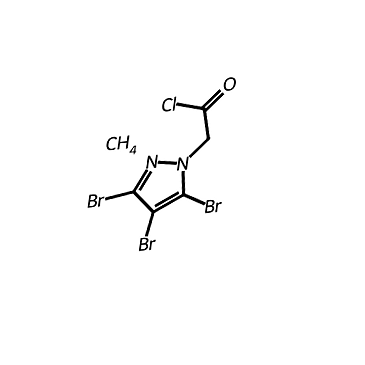 C.O=C(Cl)Cn1nc(Br)c(Br)c1Br